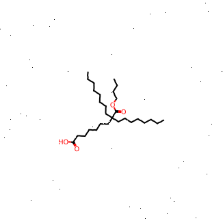 CCCCCCCCC(CCCCCCCC)(CCCCCCC(=O)O)C(=O)OCCCC